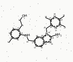 Cc1ccc(CCO)c(NCc2ccc3nc(N)n(Cc4nc(C)c(C)nc4C)c3c2)c1